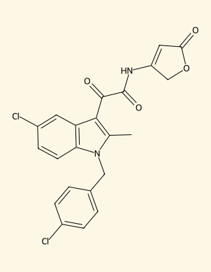 Cc1c(C(=O)C(=O)NC2=CC(=O)OC2)c2cc(Cl)ccc2n1Cc1ccc(Cl)cc1